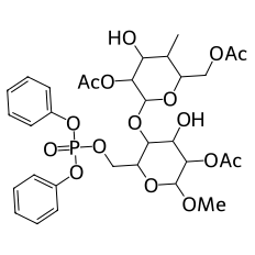 COC1OC(COP(=O)(Oc2ccccc2)Oc2ccccc2)C(OC2OC(COC(C)=O)C(C)C(O)C2OC(C)=O)C(O)C1OC(C)=O